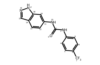 O=C(Nc1ccc(C(F)(F)F)cc1)Nc1ccc2cn[nH]c2c1